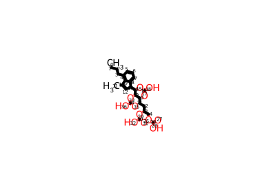 CCCCc1cccc2c1C(C)=CC2C(OC(=O)O)C(CCCC(COC(=O)O)OC(=O)O)OC(=O)O